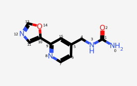 NC(=O)NCc1ccnc(-c2cnco2)c1